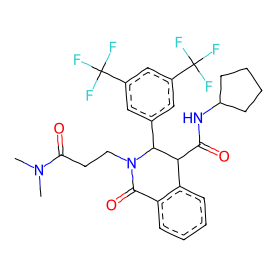 CN(C)C(=O)CCN1C(=O)c2ccccc2C(C(=O)NC2CCCC2)C1c1cc(C(F)(F)F)cc(C(F)(F)F)c1